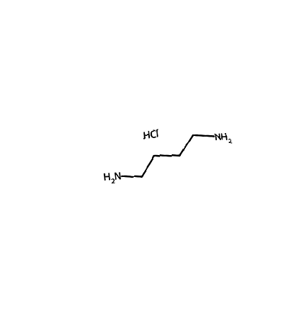 Cl.NCCCCN